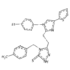 CCc1ccc(-n2cc(-c3cccs3)nc2SCc2n[nH]c(=S)n2Cc2ccc(C)cc2)cc1